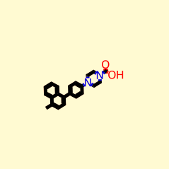 Cc1ccc(-c2ccc(N3CCN(C(=O)O)CC3)cc2)c2ccccc12